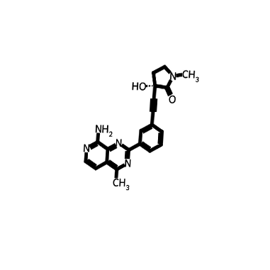 Cc1nc(-c2cccc(C#C[C@@]3(O)CCN(C)C3=O)c2)nc2c(N)nccc12